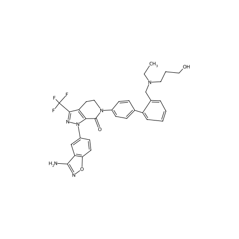 CCN(CCCO)Cc1ccccc1-c1ccc(N2CCc3c(C(F)(F)F)nn(-c4ccc5onc(N)c5c4)c3C2=O)cc1